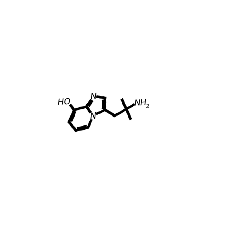 CC(C)(N)Cc1cnc2c(O)cccn12